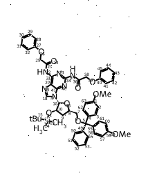 COc1ccc(C(OC[C@H]2[CH][C@@H](O[Si](C)(C)C(C)(C)C)[C@H](n3cnc4c(NC(=O)COc5ccccc5)nc(NC(=O)COc5ccccc5)nc43)O2)(c2ccccc2)c2ccc(OC)cc2)cc1